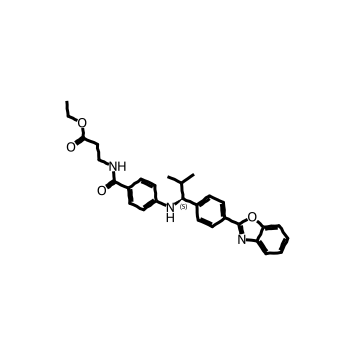 CCOC(=O)CCNC(=O)c1ccc(N[C@H](c2ccc(-c3nc4ccccc4o3)cc2)C(C)C)cc1